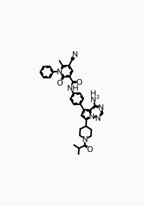 Cc1c(C#N)cc(C(=O)Nc2ccc(-c3cc(C4CCN(C(=O)C(C)C)CC4)n4ncnc(N)c34)cc2)c(=O)n1-c1ccccc1